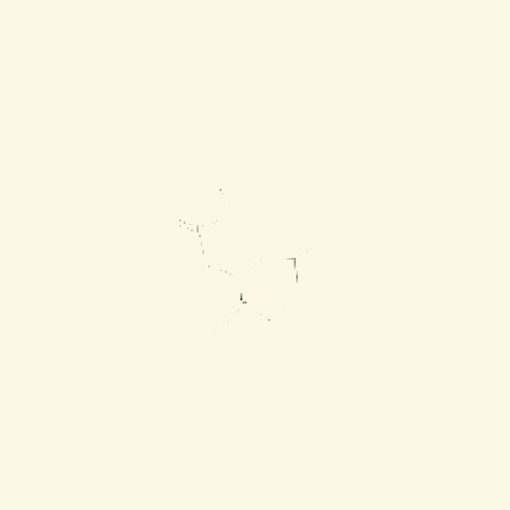 CC(C)(C)OC(=O)NC1CC(C(=O)O)CCC1=O